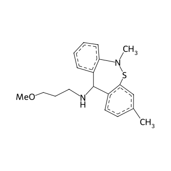 COCCCNC1c2ccc(C)cc2SN(C)c2ccccc21